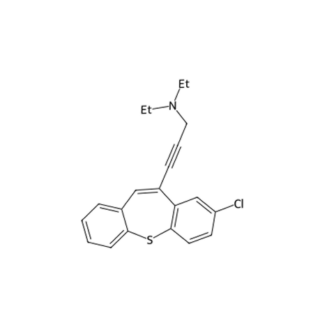 CCN(CC)CC#CC1=Cc2ccccc2Sc2ccc(Cl)cc21